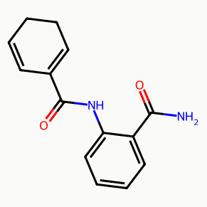 NC(=O)c1ccccc1NC(=O)C1=CCCC=C1